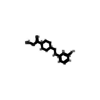 CC(C)(C)OC(=O)N1CCC(COc2cccc(F)n2)CC1